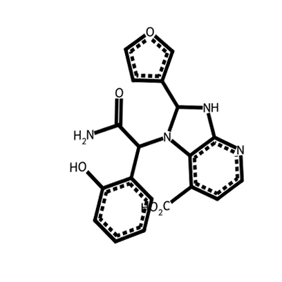 NC(=O)C(c1ccccc1O)N1c2c(C(=O)O)ccnc2NC1c1ccoc1